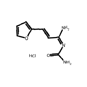 Cl.NC(=O)/N=C(N)\C=C\c1ccco1